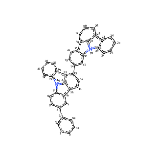 c1ccc(-c2ccc3c(c2)c2ccc(-c4ccc5c6cccc7c8ccccc8n(c5c4)c76)c4c5ccccc5n3c24)cc1